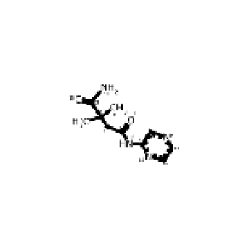 CC(C)([CH]C(=O)Nc1cnccn1)C(N)=O